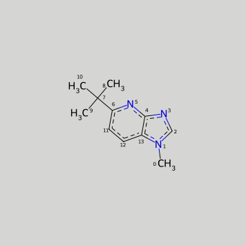 Cn1cnc2nc(C(C)(C)C)ccc21